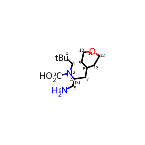 CC(C)(C)CN(C(=O)O)[C@H](CN)CC1CCOCC1